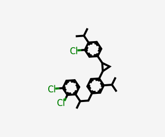 CC(C)c1ccc(C2CC2c2ccc(CC(C)c3cccc(Cl)c3Cl)cc2C(C)C)cc1Cl